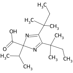 CCC(C)(C)C1=NC(C(=O)O)(C(C)C)N=C1C(C)(C)CC